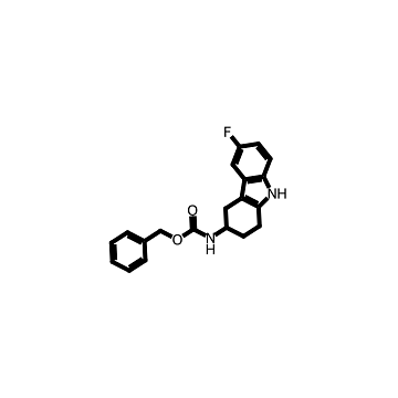 O=C(NC1CCc2[nH]c3ccc(F)cc3c2C1)OCc1ccccc1